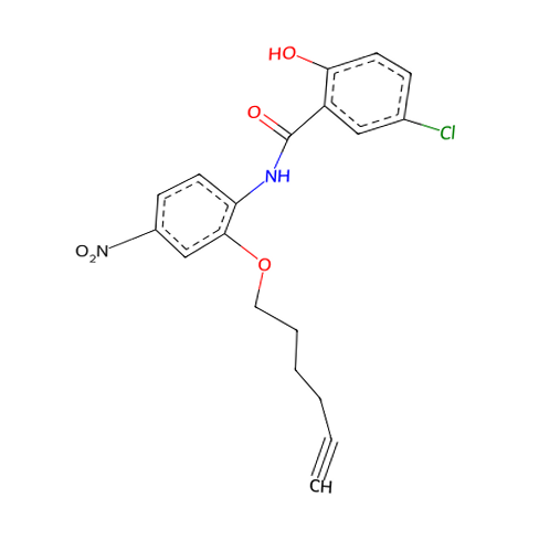 C#CCCCCOc1cc([N+](=O)[O-])ccc1NC(=O)c1cc(Cl)ccc1O